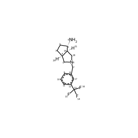 N[C@H]1CC[C@@H]2CN(Cc3cccc(C(F)(F)F)c3)C[C@@H]21